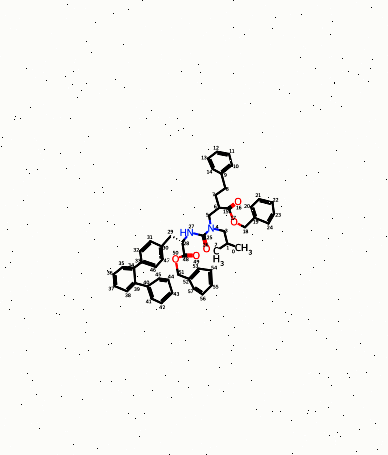 CC(C)CN(CC(CCc1ccccc1)C(=O)OCc1ccccc1)C(=O)N[C@@H](Cc1ccc(-c2ccccc2-c2ccccc2)cc1)C(=O)OCc1ccccc1